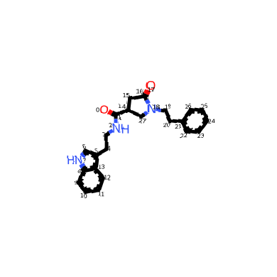 O=C(NCCc1c[nH]c2ccccc12)C1CC(=O)N(CCc2ccccc2)C1